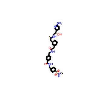 CCNS(=O)(=O)c1ccc(CNC(=O)c2ccc(CNC(=O)Cc3cccc(C[C@@H](C)NC[C@@H](O)c4ccc(N)nc4)c3)cc2)cc1